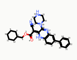 N#CC(C(=O)OCC1CCCCC1)=C1Nc2ccc(-c3ccccc3)cc2N=C1N1CCNCC1